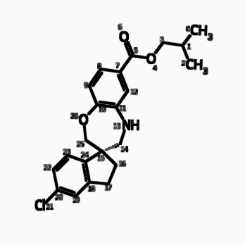 CC(C)COC(=O)c1ccc2c(c1)NC[C@@]1(CCc3cc(Cl)ccc31)CO2